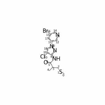 CSCC(C)C(=O)Nc1nn(-c2cncc(Br)c2)cc1Cl